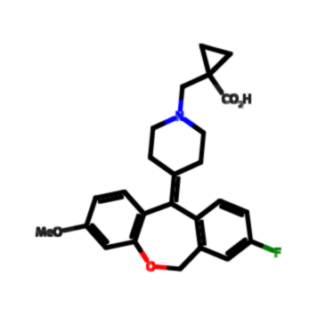 COc1ccc2c(c1)OCc1cc(F)ccc1C2=C1CCN(CC2(C(=O)O)CC2)CC1